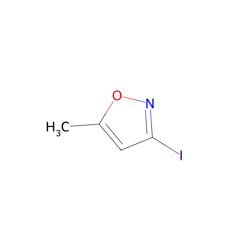 Cc1cc(I)no1